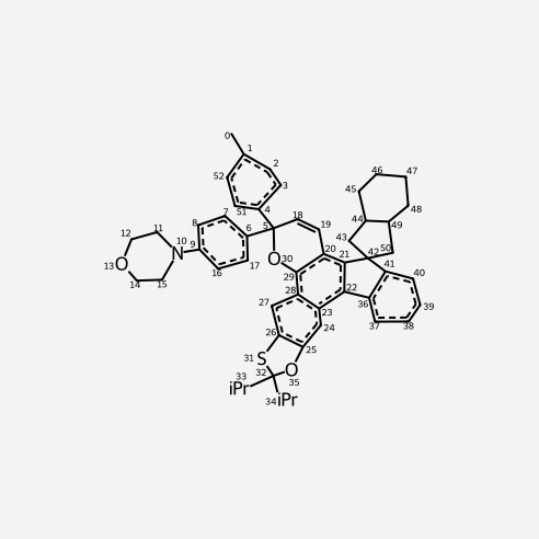 Cc1ccc(C2(c3ccc(N4CCOCC4)cc3)C=Cc3c4c(c5cc6c(cc5c3O2)SC(C(C)C)(C(C)C)O6)-c2ccccc2C42CC3CCCCC3C2)cc1